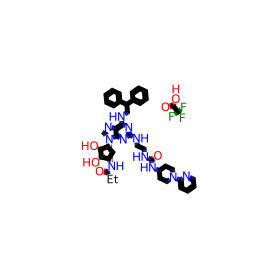 CCC(=O)N[C@H]1C[C@@H](n2cnc3c(NCC(c4ccccc4)c4ccccc4)nc(NCCNC(=O)NC4CCN(c5ccccn5)CC4)nc32)[C@H](O)[C@@H]1O.O=C(O)C(F)(F)F